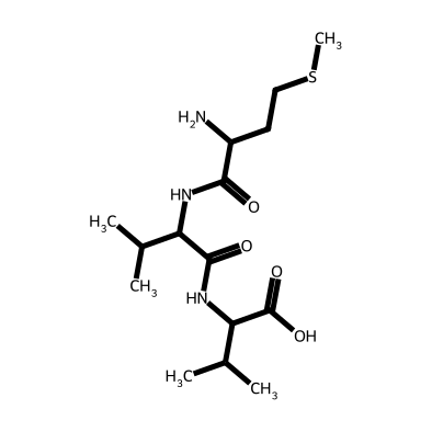 CSCCC(N)C(=O)NC(C(=O)NC(C(=O)O)C(C)C)C(C)C